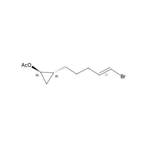 CC(=O)O[C@@H]1C[C@H]1CCC/C=C/Br